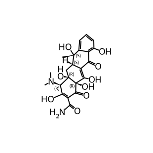 CN(C)[C@@H]1C(O)=C(C(N)=O)C(=O)[C@@]2(O)C(O)=C3C(=O)c4c(O)cccc4[C@@](C)(O)[C@H]3C[C@@]12O